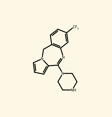 FC(F)(F)c1ccc2c(c1)N=C(N1CCNCC1)c1cccn1C2